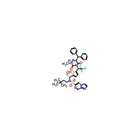 COC(=O)N(C(=O)[C@@H](N)C(c1ccccc1)c1ccccc1)[C@H](c1ccc([C@@H](CO)N(CCC(C)(C)C)S(=O)(=O)c2cn3ccnc3cn2)s1)C(F)(F)F